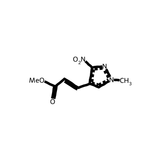 COC(=O)C=Cc1cn(C)nc1[N+](=O)[O-]